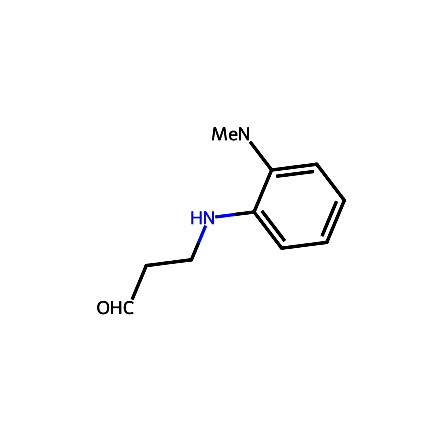 CNc1ccccc1NCCC=O